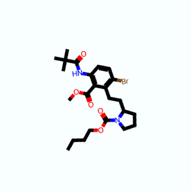 CCCCOC(=O)N1CCCC1CCc1c(Br)ccc(NC(=O)C(C)(C)C)c1C(=O)OC